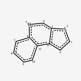 [c]1csc2cnc3ccccc3c12